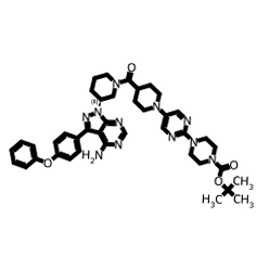 CC(C)(C)OC(=O)N1CCN(c2ncc(N3CCC(C(=O)N4CCC[C@@H](n5nc(-c6ccc(Oc7ccccc7)cc6)c6c(N)ncnc65)C4)CC3)cn2)CC1